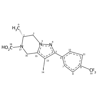 C[C@@H]1Cn2nc(-c3ccc(C(F)(F)F)cc3)c(I)c2CN1C(=O)O